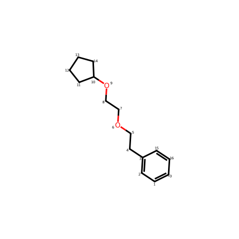 [c]1ccc(CCOCCOC2CCCC2)cc1